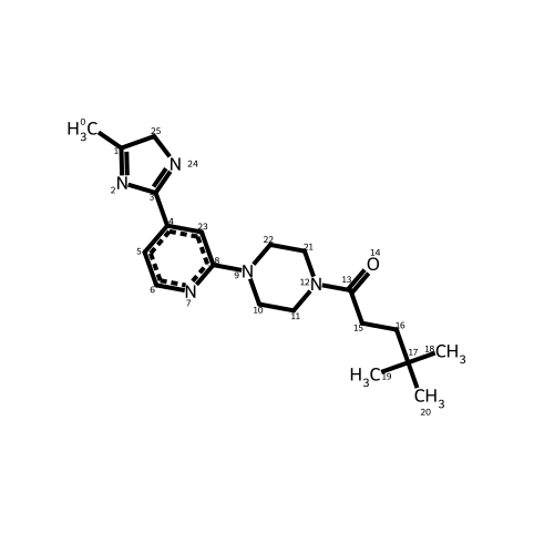 CC1=NC(c2ccnc(N3CCN(C(=O)CCC(C)(C)C)CC3)c2)=NC1